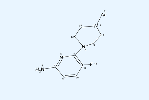 CC(=O)N1CCN(c2nc(N)ccc2F)CC1